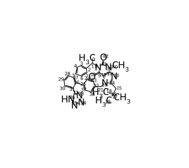 CC(c1ccccc1)n1c(=O)c2c(nc(CC(C)(C)C)n2Cc2ccc(-c3ccccc3-c3nnn[nH]3)cc2)n(C)c1=O